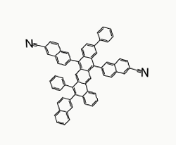 N#Cc1ccc2cc(-c3c4ccc(-c5ccccc5)cc4c(-c4ccc5cc(C#N)ccc5c4)c4cc5c(cc34)c(-c3ccccc3)c(-c3ccc4ccccc4c3)c3ccccc35)ccc2c1